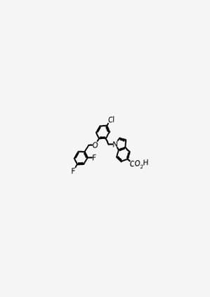 O=C(O)c1ccc2c(ccn2Cc2cc(Cl)ccc2OCc2ccc(F)cc2F)c1